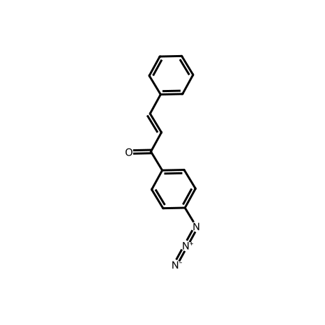 [N-]=[N+]=Nc1ccc(C(=O)/C=C/c2ccccc2)cc1